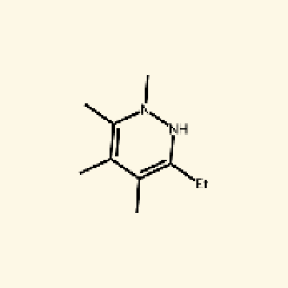 CCC1=C(C)C(C)=C(C)N(C)N1